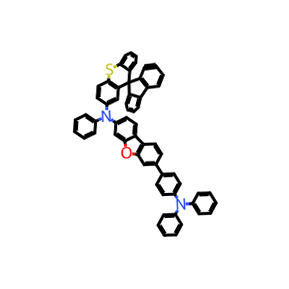 c1ccc2c(c#1)C1(c3ccccc3Sc3ccc(N(c4ccccc4)c4ccc5c(c4)oc4cc(-c6ccc(N(c7ccccc7)c7ccccc7)cc6)ccc45)cc31)c1ccccc1-2